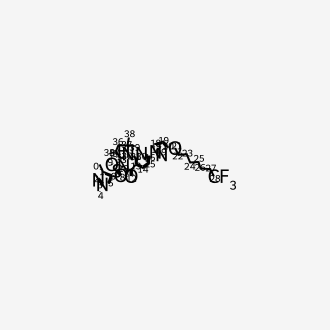 Cc1nn(C)cc1S(=O)(=O)NC(=O)c1ccc(-n2ccc(OCCCCCCC(F)(F)F)n2)nc1N1C[C@@H](C)CC1(C)C